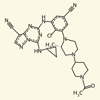 CC(=O)N1CCC(N2CCN(c3cc(C#N)cc(Nc4nc(NC5CC5)n5ncc(C#N)c5n4)c3Cl)[C@@H](C)C2)CC1